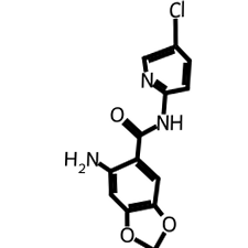 Nc1cc2c(cc1C(=O)Nc1ccc(Cl)cn1)OCO2